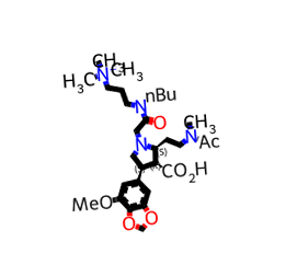 CCCCN(CCC[N+](C)(C)C)C(=O)CN1C[C@H](c2cc(OC)c3c(c2)OCO3)[C@@H](C(=O)O)[C@@H]1CCN(C)C(C)=O